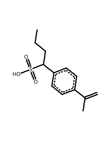 C=C(C)c1ccc(C(CCC)S(=O)(=O)O)cc1